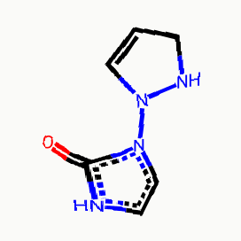 O=c1[nH]ccn1N1C=CCN1